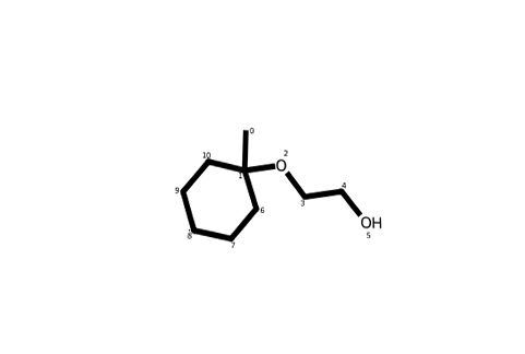 CC1(OCCO)CC[CH]CC1